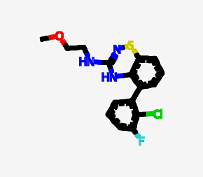 COCCNC1=NSc2cccc(-c3cccc(F)c3Cl)c2N1